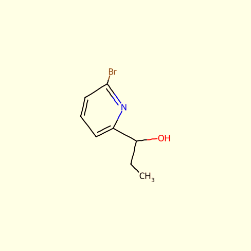 CCC(O)c1cccc(Br)n1